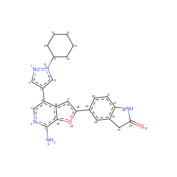 Nc1ncc(-c2cnn(C3CCCCC3)c2)c2cc(-c3ccc4c(c3)CC(=O)N4)oc12